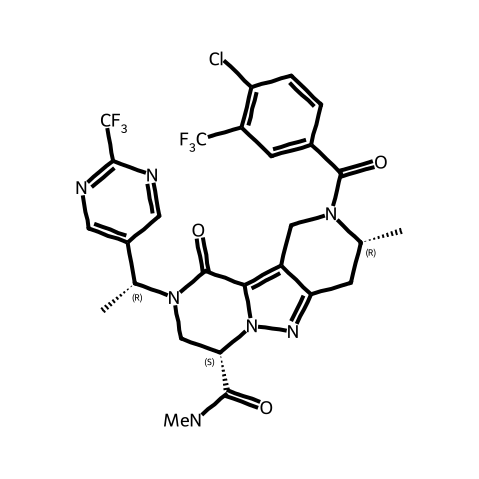 CNC(=O)[C@@H]1CN([C@H](C)c2cnc(C(F)(F)F)nc2)C(=O)c2c3c(nn21)C[C@@H](C)N(C(=O)c1ccc(Cl)c(C(F)(F)F)c1)C3